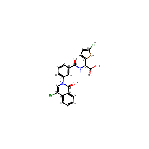 O=C(NC(C(=O)O)c1ccc(Cl)s1)c1cccc(-n2cc(Br)c3ccccc3c2=O)c1